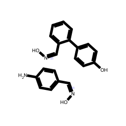 Nc1ccc(/C=N\O)cc1.O/N=C\c1ccccc1-c1ccc(O)cc1